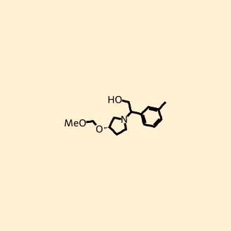 COCO[C@H]1CCN(C(CO)c2cccc(C)c2)C1